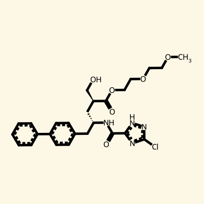 COCCOCCOC(=O)[C@H](CO)C[C@@H](Cc1ccc(-c2ccccc2)cc1)NC(=O)c1nc(Cl)n[nH]1